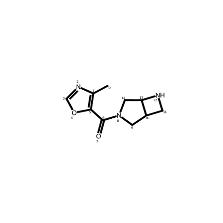 Cc1ncoc1C(=O)N1CC2CNC2C1